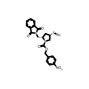 CC(=O)S[C@H]1C[C@@H](CN2C(=O)c3ccccc3C2=O)N(C(=O)OCc2ccc([N+](=O)[O-])cc2)C1